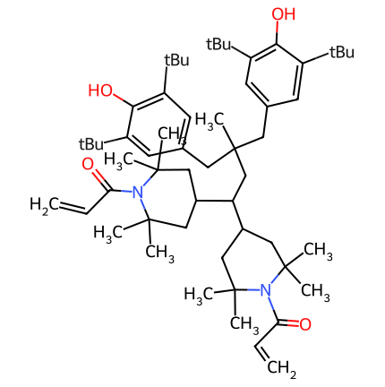 C=CC(=O)N1C(C)(C)CC(C(CC(C)(Cc2cc(C(C)(C)C)c(O)c(C(C)(C)C)c2)Cc2cc(C(C)(C)C)c(O)c(C(C)(C)C)c2)C2CC(C)(C)N(C(=O)C=C)C(C)(C)C2)CC1(C)C